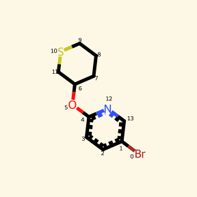 Brc1ccc(OC2CCCSC2)nc1